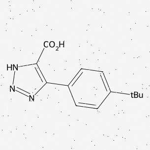 CC(C)(C)c1ccc(-c2nn[nH]c2C(=O)O)cc1